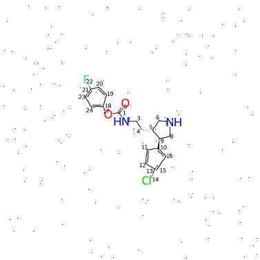 O=C(NCC[C@@H]1CNC[C@H]1c1ccc(Cl)cc1)Oc1ccc(F)cc1